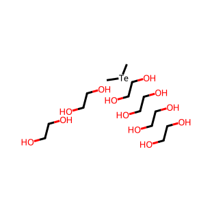 C[Te]C.OCCO.OCCO.OCCO.OCCO.OCCO.OCCO